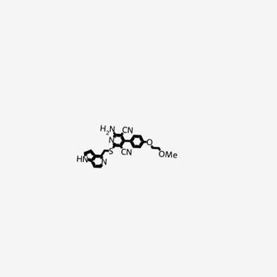 COCCOc1ccc(-c2c(C#N)c(N)nc(SCc3nccc4[nH]ccc34)c2C#N)cc1